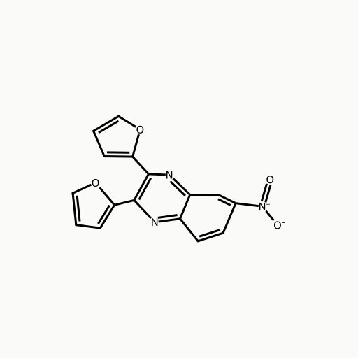 O=[N+]([O-])c1ccc2nc(-c3ccco3)c(-c3ccco3)nc2c1